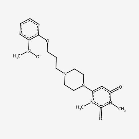 Cn1c(N2CCN(CCCOc3ccccc3[S+](C)[O-])CC2)cc(=O)n(C)c1=O